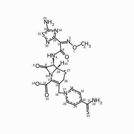 CO/N=C(\C(=O)N[C@@H]1C(=O)N2C(C(=O)[O-])=C(C[n+]3ccc(C(N)=S)cc3)CS[C@@H]12)c1nsc(N)n1